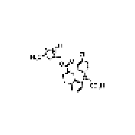 Cc1cc(COC(=O)N2CCc3ccccc3[C@H]2c2cc(Cl)ccc2OCC(=O)O)n(C)n1